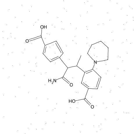 CC(c1cc(C(=O)O)ccc1N1CCCCC1)C(C(N)=O)c1ccc(C(=O)O)cc1